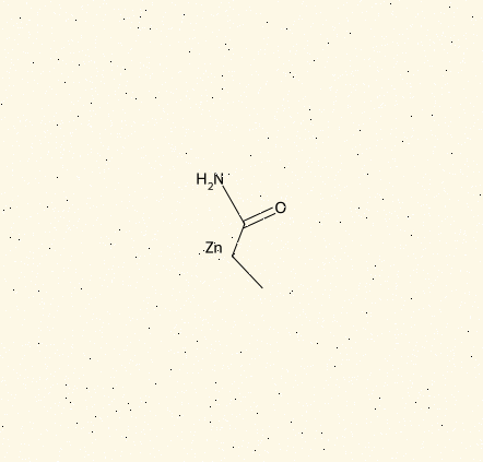 CCC(N)=O.[Zn]